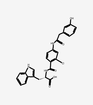 O=C(Cc1cccc(O)c1)Nc1ccc(C(=O)N[C@@H](Cc2c[nH]c3ccccc23)C(=O)O)c(Cl)c1